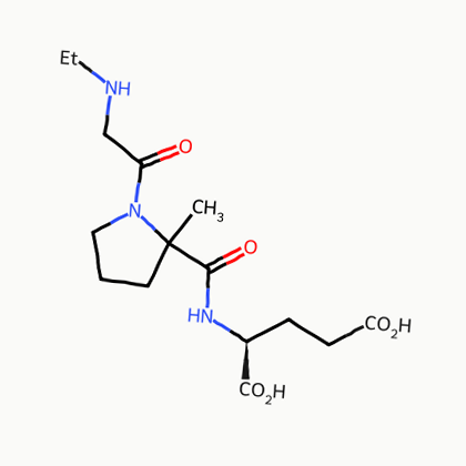 CCNCC(=O)N1CCCC1(C)C(=O)N[C@@H](CCC(=O)O)C(=O)O